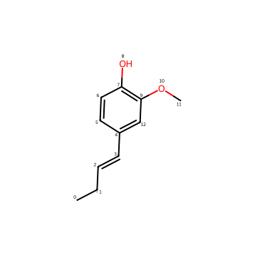 C[CH]C=Cc1ccc(O)c(OC)c1